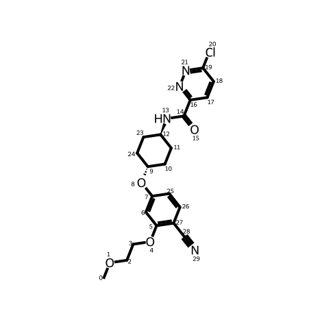 COCCOc1cc(O[C@H]2CC[C@H](NC(=O)c3ccc(Cl)nn3)CC2)ccc1C#N